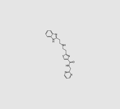 O=C(NCc1ncccn1)c1csc(CCNCCc2nc3ccccc3[nH]2)n1